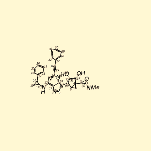 CN[C@H]1OC1C12CC1[C@@H](n1cnc3c(NC4CC4c4ccccc4)nc(C#Cc4ccccc4)nc31)[C@H](O)[C@@H]2O